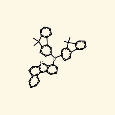 CC1(C)c2ccccc2-c2cc(N(c3ccc4c(c3)C(C)(C)c3ccccc3-4)c3cccc4c3oc3ccc5ccccc5c34)ccc21